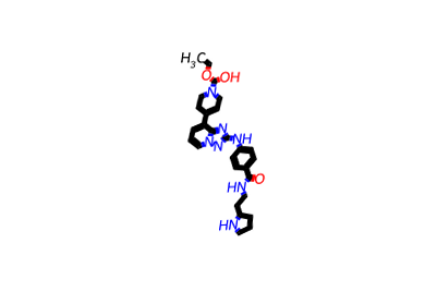 CCOC(O)N1CC=C(c2cccn3nc(Nc4ccc(C(=O)NCCC5CCCN5)cc4)nc23)CC1